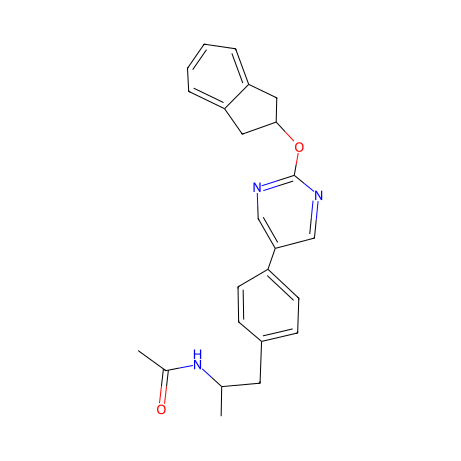 CC(=O)NC(C)Cc1ccc(-c2cnc(OC3Cc4ccccc4C3)nc2)cc1